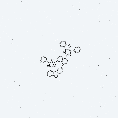 C1=CC(c2nc(-c3ccccc3)c3sc4ccccc4c3n2)CC=C1c1ccc2oc3cccc(-c4nc(-c5ccccc5)nc(-c5ccccc5)n4)c3c2c1